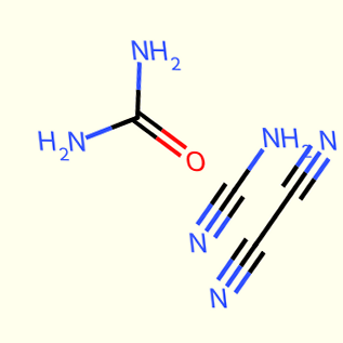 N#CC#N.N#CN.NC(N)=O